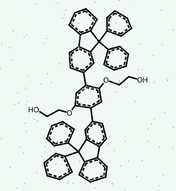 OCCOc1cc(-c2ccc3c(c2)C(c2ccccc2)(c2ccccc2)c2ccccc2-3)c(OCCO)cc1-c1ccc2c(c1)C(c1ccccc1)(c1ccccc1)c1ccccc1-2